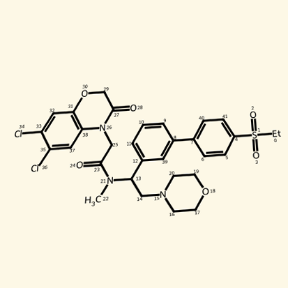 CCS(=O)(=O)c1ccc(-c2cccc(C(CN3CCOCC3)N(C)C(=O)CN3C(=O)COc4cc(Cl)c(Cl)cc43)c2)cc1